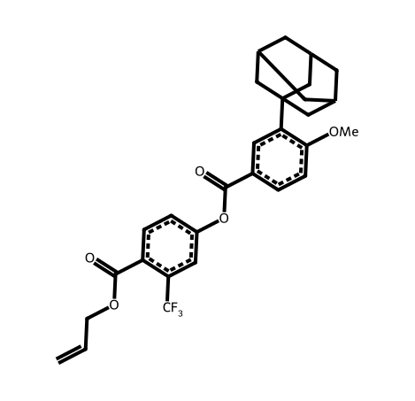 C=CCOC(=O)c1ccc(OC(=O)c2ccc(OC)c(C34CC5CC(CC(C5)C3)C4)c2)cc1C(F)(F)F